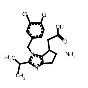 CC(C)c1nc2c(n1Cc1ccc(Cl)c(Cl)c1)C(CC(=O)O)CC2.N